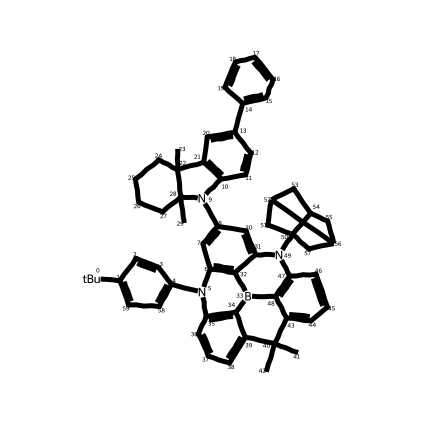 CC(C)(C)c1ccc(N2c3cc(N4c5ccc(-c6ccccc6)cc5C5(C)CCCCC45C)cc4c3B3c5c2cccc5C(C)(C)c2cccc(c23)N4C23CC4CC2CC4C3)cc1